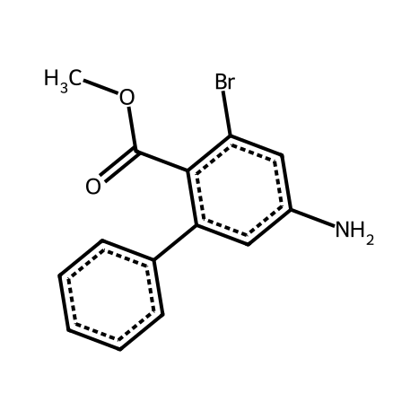 COC(=O)c1c(Br)cc(N)cc1-c1ccccc1